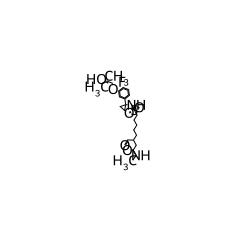 CNC(=O)CC(C=O)CCCCCS(=O)(=O)NC1(c2ccc(F)c(OCC(C)(C)O)c2)CC1